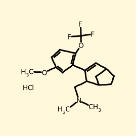 COc1ccc(OC(F)(F)F)c(C2=CC3CCC(C3)C2CN(C)C)c1.Cl